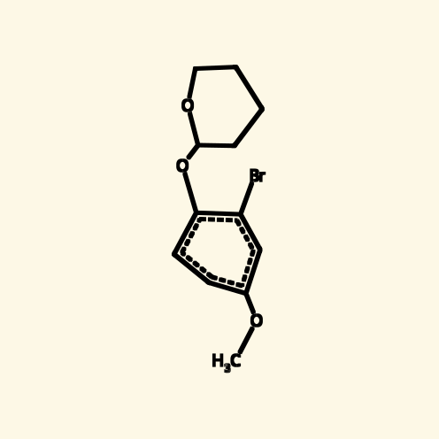 COc1ccc(OC2CCCCO2)c(Br)c1